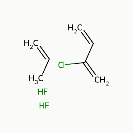 C=CC.C=CC(=C)Cl.F.F